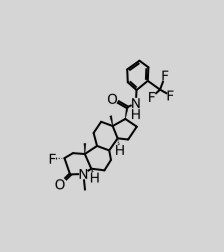 CN1C(=O)[C@H](F)C[C@]2(C)C3CC[C@]4(C)[C@@H](C(=O)Nc5ccccc5C(F)(F)F)CC[C@H]4C3CC[C@@H]12